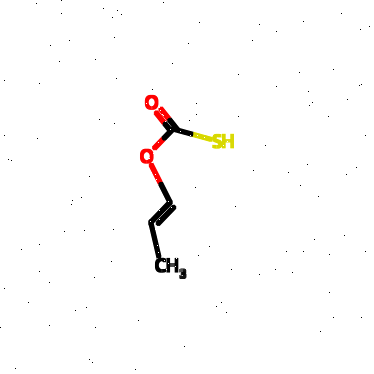 CC=COC(=O)S